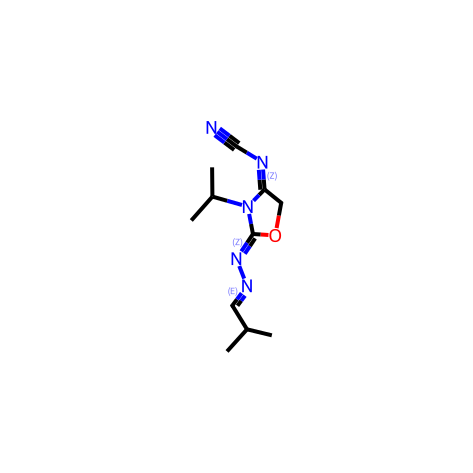 CC(C)/C=N/N=C1\OC/C(=N/C#N)N1C(C)C